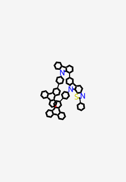 c1ccc(-c2nc3ccc4c5cc(-c6cccc7c8ccccc8n(-c8ccc(-c9ccc%10c%11ccccc%11c%11ccccc%11c%10c9)cc8)c67)ccc5n(-c5ccc(-c6ccc7c8ccccc8c8ccccc8c7c6)cc5)c4c3s2)cc1